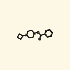 O=C(ON1CCN(C2CCC2)CC1)c1ccccc1